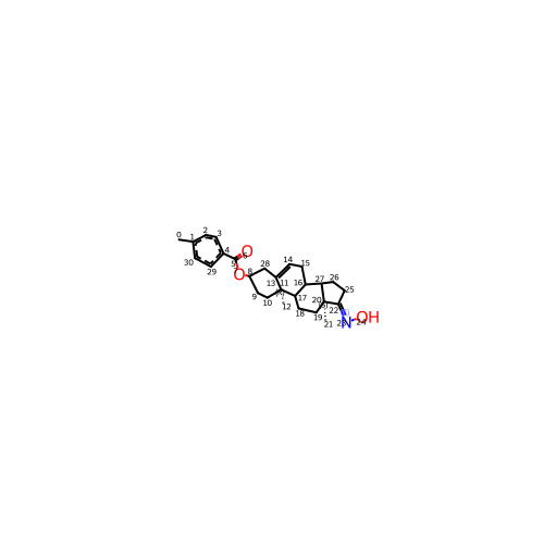 Cc1ccc(C(=O)OC2CC[C@@]3(C)C(=CCC4C3CC[C@]3(C)/C(=N/O)CCC43)C2)cc1